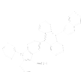 C/C=C\c1c(C=N)c2cc(-c3c4ccccc4c(-c4ccc5ccccc5c4)c4ccccc34)ccc2n1-c1ccccc1